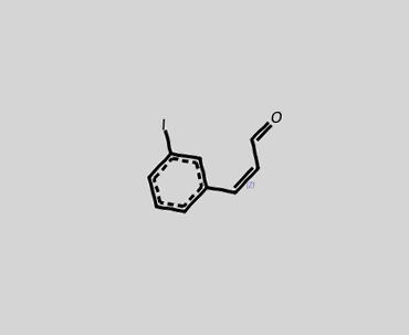 O=C/C=C\c1cccc(I)c1